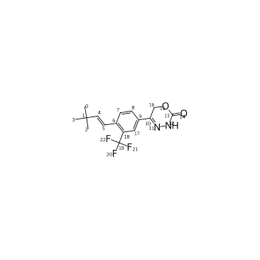 CC(C)(C)/C=C/c1ccc(C2=NNC(=O)OC2)cc1C(F)(F)F